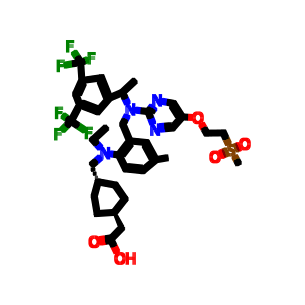 CCN(C[C@H]1CC[C@H](CC(=O)O)CC1)c1ccc(C)cc1CN(c1ncc(OCCS(C)(=O)=O)cn1)C(C)c1cc(C(F)(F)F)cc(C(F)(F)F)c1